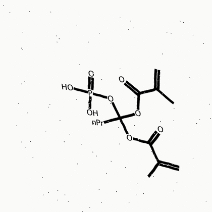 C=C(C)C(=O)OC(CCC)(OC(=O)C(=C)C)OP(=O)(O)O